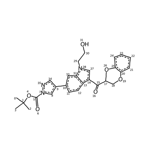 CC(C)(C)OC(=O)n1cc(-c2ccc3c(C(=O)C4COc5ccccc5O4)cn(CCO)c3c2)cn1